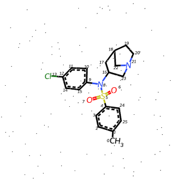 Cc1ccc(S(=O)(=O)N(c2ccc(Cl)cc2)C2CC3CCN(C3)C2)cc1